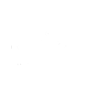 CCC12CCC(=O)C(CS(=O)(=O)c3ccccc3)C1CCC2=O